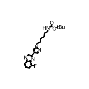 CC(C)(C)OC(=O)NCCCCCCn1cc(-c2cnc3cccc(F)c3n2)cn1